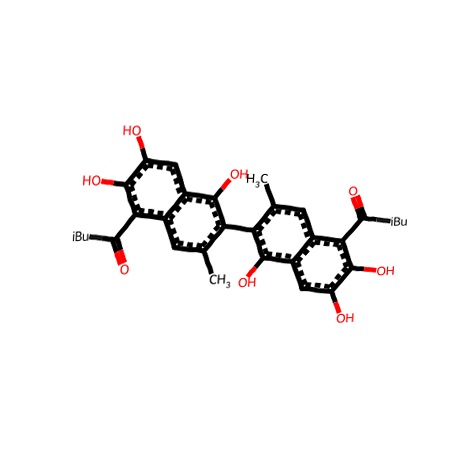 CCC(C)C(=O)c1c(O)c(O)cc2c(O)c(-c3c(C)cc4c(C(=O)C(C)CC)c(O)c(O)cc4c3O)c(C)cc12